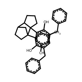 Cc1cc(Cc2ccccc2)c(O)c(C23CCC(C2)C2CCCC23c2cc(C)cc(Cc3ccccc3)c2O)c1